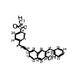 CS(=O)(=O)c1ccc(CC#Cc2ccc3cc(O)c(Cc4ccccc4)cc3c2)cc1